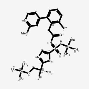 COc1cc(-c2cccc(C(C)C)c2CC(=O)N=S(=O)(N[Si](C)(C)C(C)(C)C)c2cnc([C@@](C)(O)CO[Si](C)(C)C(C)(C)C)s2)ccn1